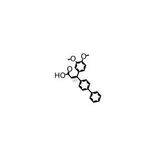 COc1ccc(/C(=C\C(=O)O)c2ccc(-c3ccccc3)cc2)cc1OC